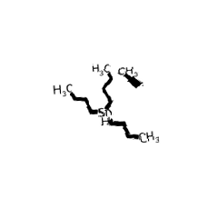 CCC[CH2][SnH]([CH2]CCC)[CH2]CCC.[C]#CC